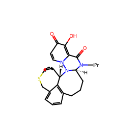 CC(C)N1C(=O)c2c(O)c(=O)ccn2N2[C@H]3c4ccccc4SCc4cccc(c43)CCC[C@H]12